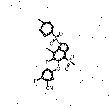 Cc1ccc(S(=O)(=O)n2ccc3c(S(C)(=O)=O)c(Oc4ccc(F)c(C#N)c4)c(F)c(F)c32)cc1